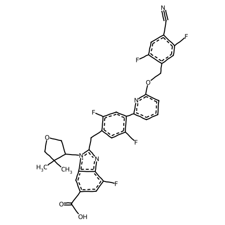 CC1(C)COCC1n1c(Cc2cc(F)c(-c3cccc(OCc4cc(F)c(C#N)cc4F)n3)cc2F)nc2c(F)cc(C(=O)O)cc21